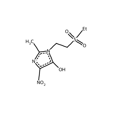 CCS(=O)(=O)CCn1c(C)nc([N+](=O)[O-])c1O